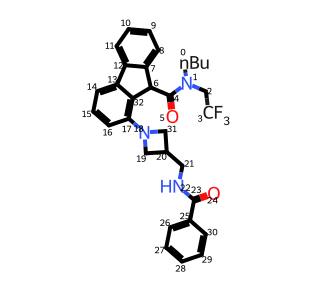 CCCCN(CC(F)(F)F)C(=O)C1c2ccccc2-c2cccc(N3CC(CNC(=O)c4ccccc4)C3)c21